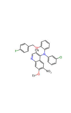 CCOc1cc2ncc(C#N)c(N(c3cccc(Cl)c3)c3ccccc3OCc3ccc(F)cc3)c2cc1[N+](=O)[O-]